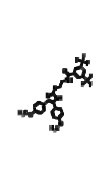 COc1ccc(-c2nc(SCCNC(=O)c3cc(C(F)(F)F)cc(C(F)(F)F)c3)[nH]c2-c2ccc(OC)cc2)cc1